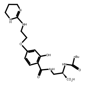 CCCCC(=O)N[C@H](C[AsH]C(=O)c1ccc(OCCNC2=NCCCN2)cc1O)C(=O)O